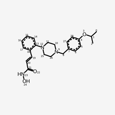 CC(C)Oc1ccc(CN2CCN(c3ccccc3/C=C/C(=O)NO)CC2)cc1